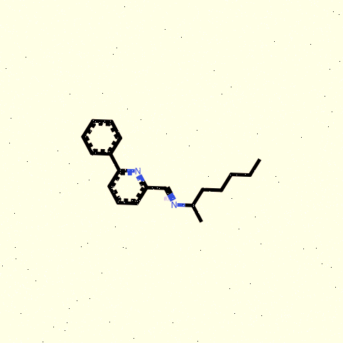 CCCCCC(C)/N=C/c1cccc(-c2ccccc2)n1